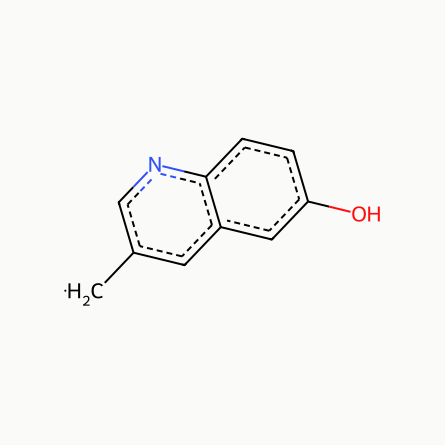 [CH2]c1cnc2ccc(O)cc2c1